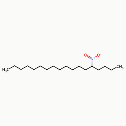 CCCCCCCCCCCCCC(CCCC)[N+](=O)[O-]